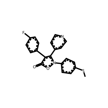 CSc1ccc(-n2oc(=O)c(-c3ccc(F)cc3)c2-c2ccncc2)cc1